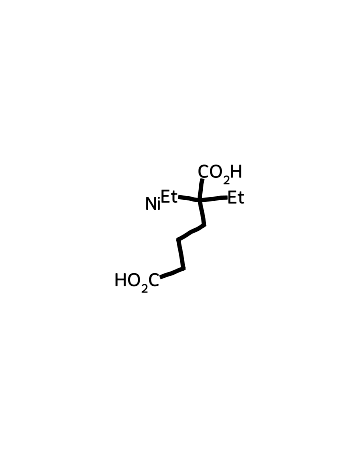 CCC(CC)(CCCC(=O)O)C(=O)O.[Ni]